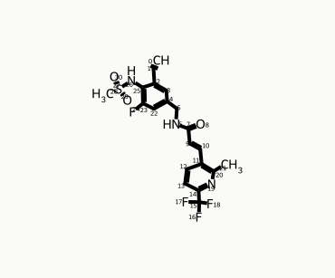 C#Cc1cc(CNC(=O)C=Cc2ccc(C(F)(F)F)nc2C)cc(F)c1NS(C)(=O)=O